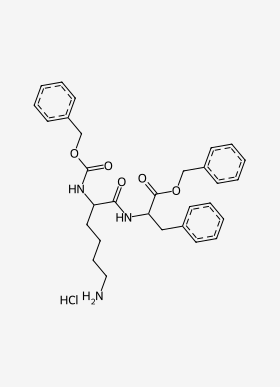 Cl.NCCCCC(NC(=O)OCc1ccccc1)C(=O)NC(Cc1ccccc1)C(=O)OCc1ccccc1